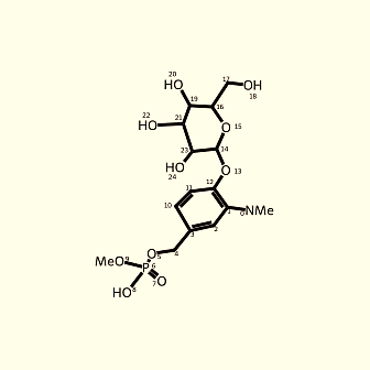 CNc1cc(COP(=O)(O)OC)ccc1OC1OC(CO)C(O)C(O)C1O